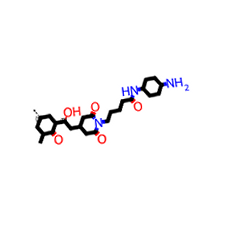 CC1C[C@H](C)CC([C@H](O)CC2CC(=O)N(CCCCC(=O)NC3CCC(N)CC3)C(=O)C2)C1=O